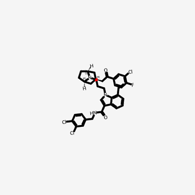 CCc1cccc2c(C(=O)NCc3ccc(Cl)c(Cl)c3)cn(CCCN3[C@@H]4CC[C@H]3C[C@@H](CC(=O)c3ccc(F)c(Cl)c3)C4)c12